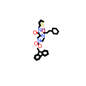 O=C(NCc1cccs1)C1CN(C(=O)OCC2c3ccccc3-c3ccccc32)CCN1C(=O)CCC1CCCCC1